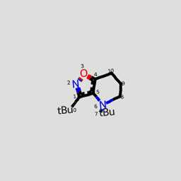 CC(C)(C)c1noc2c1N(C(C)(C)C)CCC2